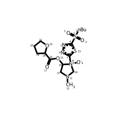 CCCCS(=O)(=O)c1nnc([N+]2([O-])CN(C)CC2OC(=O)C2CCCO2)s1